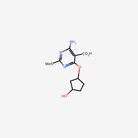 CSc1nc(N)c(C(=O)O)c(OC2CCC(O)C2)n1